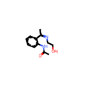 CC(=O)Nc1ccccc1/C(C)=N\CCO